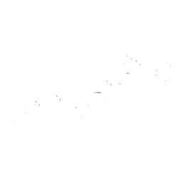 CC(C)(C)OC(=O)N1CCN(Cc2coc3ccc(NC(=O)c4cnn(Cc5ccccc5)c4)cc23)CC1